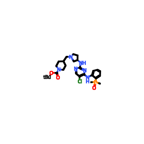 CC(C)(C)OC(=O)N1CCC(CN2CC[C@@H](Nc3ncc(Cl)c(Nc4ccccc4P(C)(C)=O)n3)C2)CC1